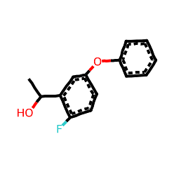 CC(O)c1cc(Oc2ccccc2)ccc1F